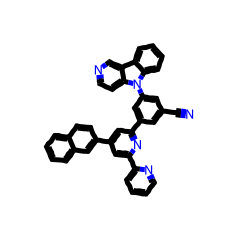 N#Cc1cc(-c2cc(-c3ccc4ccccc4c3)cc(-c3ccccn3)n2)cc(-n2c3ccccc3c3cnccc32)c1